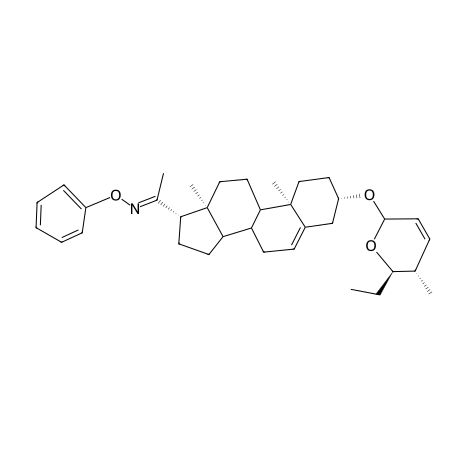 CC[C@H]1OC(O[C@H]2CC[C@@]3(C)C(=CCC4C3CC[C@@]3(C)C4CC[C@@H]3/C(C)=N/Oc3ccccc3)C2)C=C[C@@H]1C